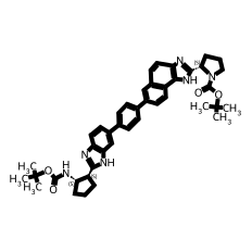 CC(C)(C)OC(=O)N[C@H]1CCC[C@@H]1c1nc2ccc(-c3ccc(-c4ccc5c(ccc6nc([C@@H]7CCCN7C(=O)OC(C)(C)C)[nH]c65)c4)cc3)cc2[nH]1